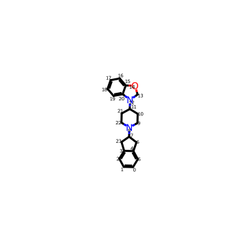 c1ccc2c(c1)CC(N1CCC(N3COc4ccccc43)CC1)C2